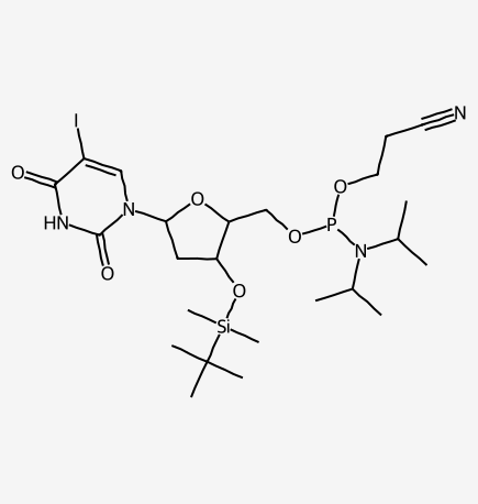 CC(C)N(C(C)C)P(OCCC#N)OCC1OC(n2cc(I)c(=O)[nH]c2=O)CC1O[Si](C)(C)C(C)(C)C